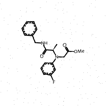 COC(=O)CN(c1cccc(F)c1)[C@H](C)C(=O)NCc1ccccc1